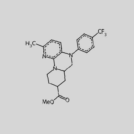 COC(=O)C1CCN2c3nc(C)ccc3N(c3ccc(C(F)(F)F)cc3)CC2C1